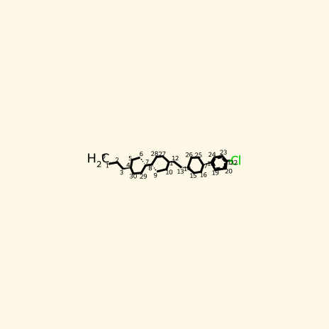 C=CCC[C@H]1CC[C@H]([C@H]2CC[C@H](CC[C@H]3CC[C@H](c4ccc(Cl)cc4)CC3)CC2)CC1